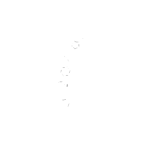 Cc1cc(C2=NOC(c3cc(C(F)(F)F)nn3C)(C(F)(F)F)C2)ccc1C(=O)NCCC(=O)C=O